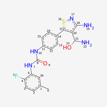 Cc1ccc(F)c(NC(=O)Nc2ccc(-c3snc(N)c3C(N)O)cc2)c1